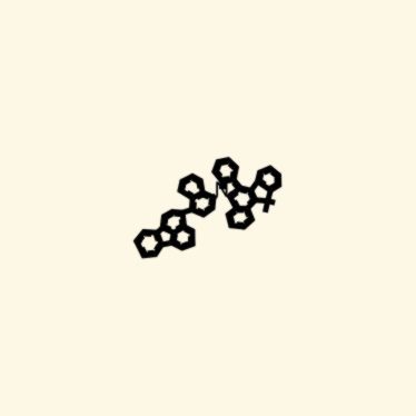 CC1(C)c2ccccc2-c2c1c1ccccc1c1c2c2ccccc2n1-c1ccc(-c2ccc3c4c(cccc24)-c2ccccc2-3)c2ccccc12